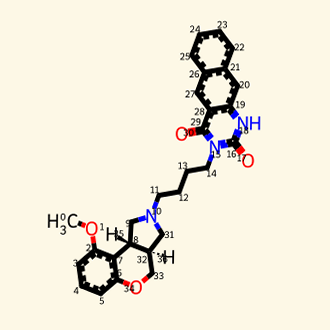 COc1cccc2c1[C@@H]1CN(CCCCn3c(=O)[nH]c4cc5ccccc5cc4c3=O)C[C@H]1CO2